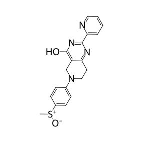 C[S+]([O-])c1ccc(N2CCc3nc(-c4ccccn4)nc(O)c3C2)cc1